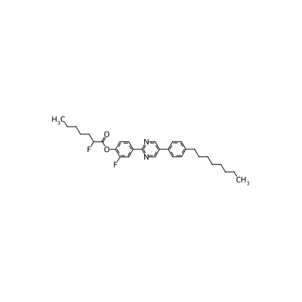 CCCCCCCCc1ccc(-c2cnc(-c3ccc(OC(=O)C(F)CCCCC)c(F)c3)nc2)cc1